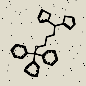 C1=CCC(C(CCCOC(c2ccccc2)(c2ccccc2)c2ccccc2)C2=CC=CC2)=C1